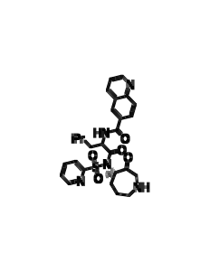 CC(C)CC(NC(=O)c1ccc2ncccc2c1)C(=O)N([C@H]1CCCNCC1=O)S(=O)(=O)c1ccccn1